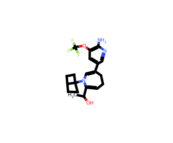 CC(O)C1=CCCC(c2cnc(N)c(OC(F)(F)F)c2)=CN1C12CCC1CC2